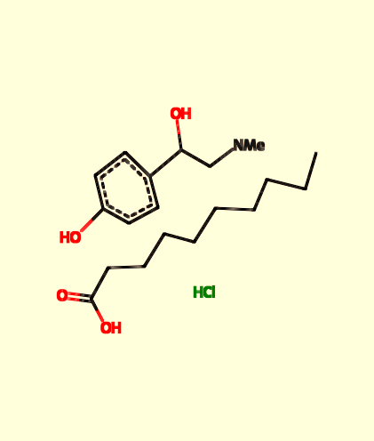 CCCCCCCCCC(=O)O.CNCC(O)c1ccc(O)cc1.Cl